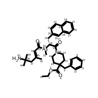 CCOC(=O)C1(Cc2ccccc2)CCN(C(=O)[C@@H](Cc2ccc3ccccc3c2)[As](C)C(=O)/C=C(\C)CC(C)(C)N)CC1